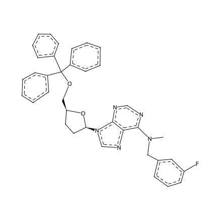 CN(Cc1cccc(F)c1)c1ncnc2c1ncn2[C@H]1CC[C@@H](COC(c2ccccc2)(c2ccccc2)c2ccccc2)O1